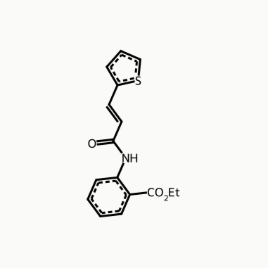 CCOC(=O)c1ccccc1NC(=O)C=Cc1cccs1